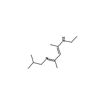 CCNC(C)=CC(C)=NCC(C)C